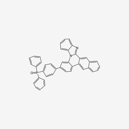 O=P(c1ccccc1)(c1ccccc1)c1ccc(-c2ccc3c4cc5ccccc5cc4c4nc5ccccc5n4c3c2)cc1